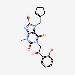 Cn1c(=O)n(CC(=O)c2ccccc2O)c(=O)c2c1nc(Br)n2CC1=CCCC1